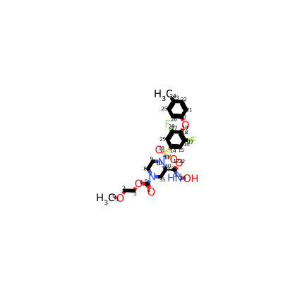 COCCOC(=O)N1CCN(S(=O)(=O)c2cc(F)c(Oc3ccc(C)cc3)c(F)c2)[C@@H](C(=O)NO)C1